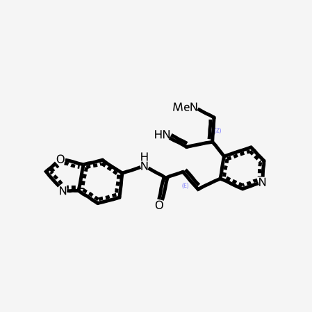 CN/C=C(\C=N)c1ccncc1/C=C/C(=O)Nc1ccc2ncoc2c1